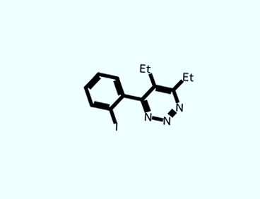 CCc1nnnc(-c2ccccc2I)c1CC